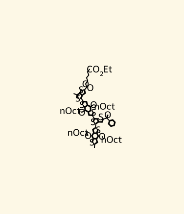 CCCCCCCCOc1c2cc(-c3sc(-c4cc5c(OCCCCCCCC)c6sc(-c7sc(C)c8sc(C(=O)OCCCCC(=O)OCC)cc78)cc6c(OCCCCCCCC)c5s4)c4sc(C(=O)c5ccccc5)cc34)sc2c(OCCCCCCCC)c2cc(C)sc12